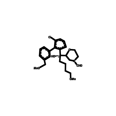 COCCCC[C@@](O)(c1cccc(Cl)c1-c1cccc(COC)c1)C1CN(C=O)CCO1